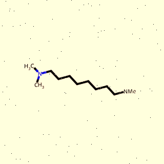 CNCCCCCCCCN(C)C